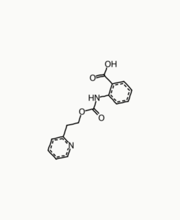 O=C(Nc1ccccc1C(=O)O)OCCc1ccccn1